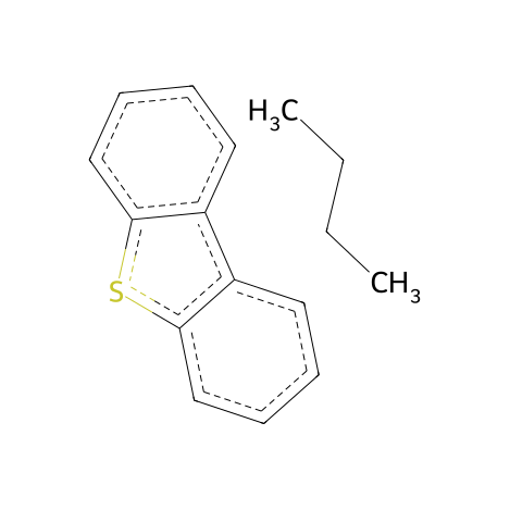 CCCC.c1ccc2c(c1)sc1ccccc12